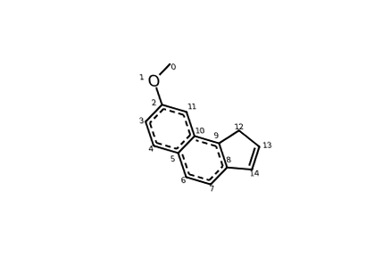 COc1ccc2ccc3c(c2c1)CC=C3